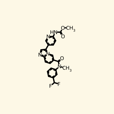 COC(=O)Nc1ccc(-c2cnc3ccc(C(=O)N(C)c4cccc(C(F)F)c4)cn23)cn1